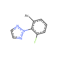 CC(=O)c1cccc(F)c1-n1nccn1